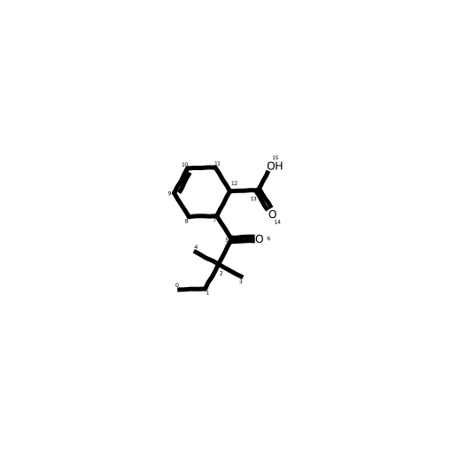 CCC(C)(C)C(=O)C1CC=CCC1C(=O)O